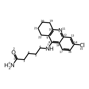 NC(=O)CCCCNc1c2c(nc3cc(Cl)ccc13)CCCC2